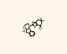 CC1(C)CC(=O)c2sc(N3CCO[C@@H]4Cc5ccccc5C43)nc2C1